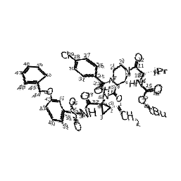 C=C[C@@H]1C[C@]1(NC(=O)[C@@H]1CN(C(=O)[C@@H](NC(=O)OC(C)(C)C)C(C)C)CCN1C(=O)c1ccc(Cl)cc1)C(=O)NS(=O)(=O)c1cccc(OCc2ccccc2)c1